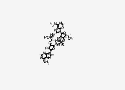 Nc1ncnc2c1ncn2[C@@H]1O[C@H](CO)C(OP(=O)(O)OC[C@H]2O[C@@H](n3cnc4c(N)ncnc43)[C@@H](F)C2OC[PH](=O)O)C1F